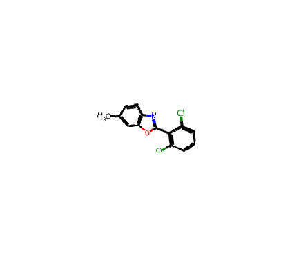 Cc1ccc2nc(-c3c(Cl)cccc3Cl)oc2c1